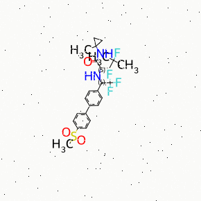 CC(C)(F)C[C@H](N[C@@H](c1ccc(-c2ccc(S(C)(=O)=O)cc2)cc1)C(F)(F)F)C(=O)NC1(C)CC1